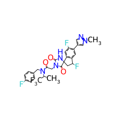 C[C@H](N(Cc1ccc(F)cc1)C(=O)CN1C(=O)NC2(CC(F)c3cc(-c4cnn(C)c4)c(F)cc32)C1=O)C(F)(F)F